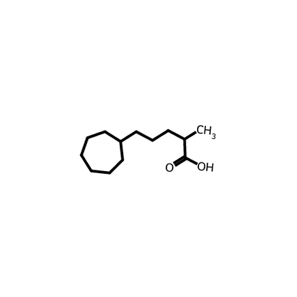 CC(CCCC1CCCCCC1)C(=O)O